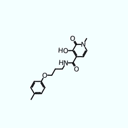 Cc1ccc(OCCCNC(=O)c2ccn(C)c(=O)c2O)cc1